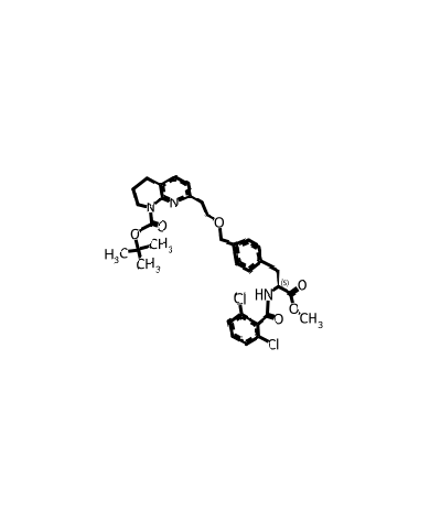 COC(=O)[C@H](Cc1ccc(COCCc2ccc3c(n2)N(C(=O)OC(C)(C)C)CCC3)cc1)NC(=O)c1c(Cl)cccc1Cl